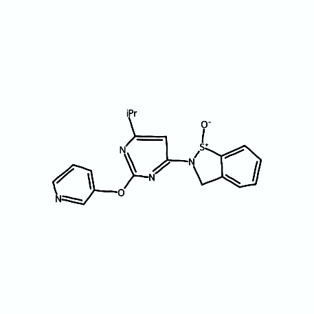 CC(C)c1cc(N2Cc3ccccc3[S+]2[O-])nc(Oc2cccnc2)n1